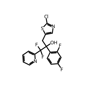 OC(Cc1cnc(Cl)s1)(c1ccc(F)cc1F)C(F)(F)c1ccccn1